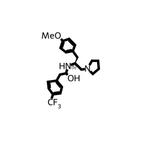 COc1ccc(C[C@@H](CN2CCCC2)NC(O)Cc2ccc(C(F)(F)F)cc2)cc1